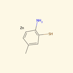 Cc1ccc(N)c(S)c1.[Zn]